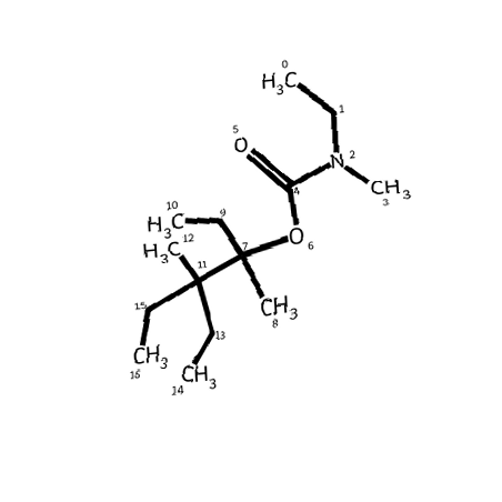 CCN(C)C(=O)OC(C)(CC)C(C)(CC)CC